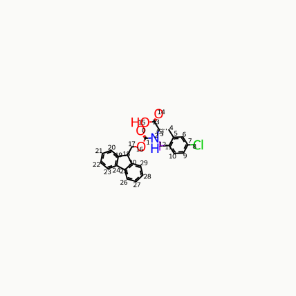 O=C(N[C@@H](Cc1cc(Cl)ccc1I)C(=O)O)OCC1c2ccccc2-c2ccccc21